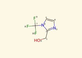 OCc1nccn1C(F)(F)F